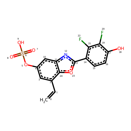 C=Cc1cc(OS(=O)(=O)O)cc2nc(-c3ccc(O)c(F)c3F)oc12